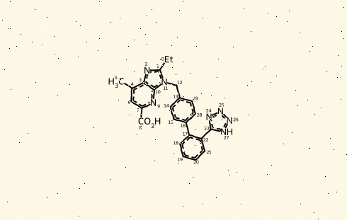 CCc1nc2c(C)cc(C(=O)O)nc2n1Cc1ccc(-c2ccccc2-c2nnn[nH]2)cc1